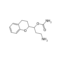 NCCC(OC(N)=O)C1CCc2ccccc2O1